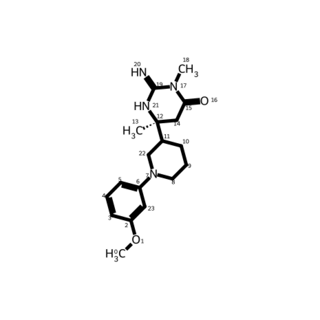 COc1cccc(N2CCCC([C@]3(C)CC(=O)N(C)C(=N)N3)C2)c1